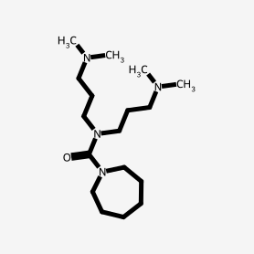 CN(C)CCCN(CCCN(C)C)C(=O)N1CCCCCC1